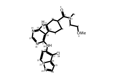 COCCN(C)C(=O)C1CCc2c([nH]c3ncnc(Nc4ccn5nccc5c4Cl)c23)C1